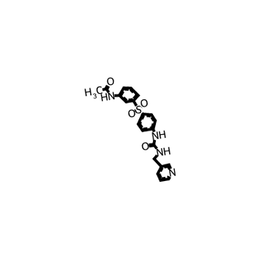 CC(=O)Nc1cccc(S(=O)(=O)c2ccc(NC(=O)NCc3cccnc3)cc2)c1